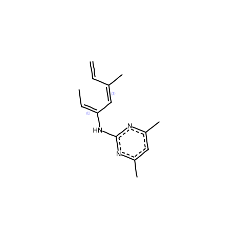 C=C/C(C)=C\C(=C/C)Nc1nc(C)cc(C)n1